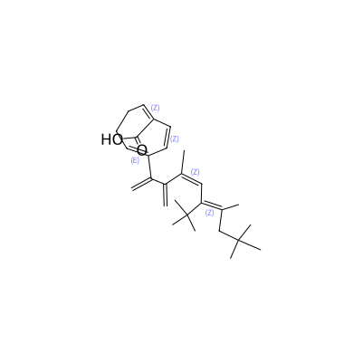 C=C(C(=C)C1=C/CC/C=C(C(=O)O)/C=C\1)/C(C)=C\C(=C(/C)CC(C)(C)C)C(C)(C)C